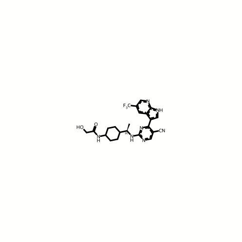 C[C@@H](Nc1ncc(C#N)c(-c2c[nH]c3ncc(C(F)(F)F)cc23)n1)C1CCC(NC(=O)CO)CC1